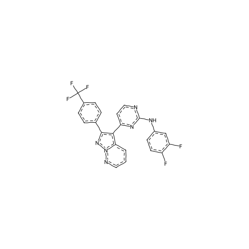 Fc1ccc(Nc2nccc(-c3c(-c4ccc(C(F)(F)F)cc4)nn4ncccc34)n2)cc1F